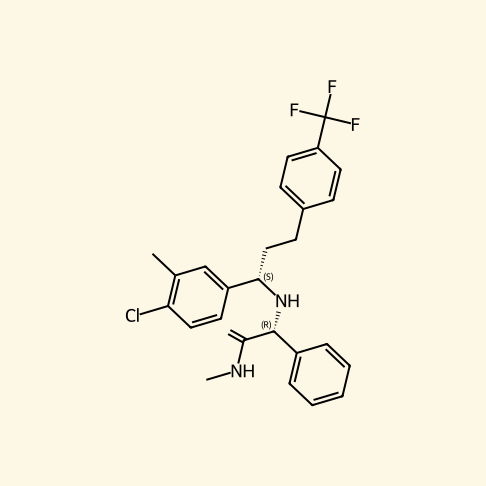 C=C(NC)[C@H](N[C@@H](CCc1ccc(C(F)(F)F)cc1)c1ccc(Cl)c(C)c1)c1ccccc1